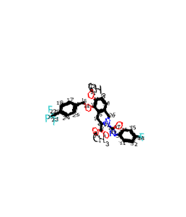 COC(=O)C1Cc2c(ccc(OC)c2OCc2ccc(C(F)(F)F)cc2)CN1c1nc2ccc(F)cc2o1